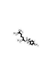 C=C(C)CCCC(C)=NNS(=O)(=O)c1ccc(C)cc1